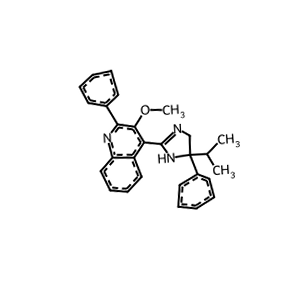 COc1c(-c2ccccc2)nc2ccccc2c1C1=NCC(c2ccccc2)(C(C)C)N1